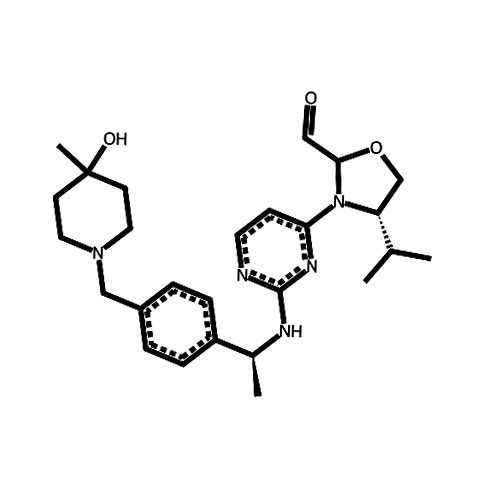 CC(C)[C@H]1COC(C=O)N1c1ccnc(N[C@@H](C)c2ccc(CN3CCC(C)(O)CC3)cc2)n1